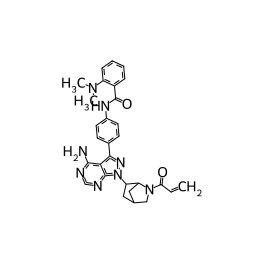 C=CC(=O)N1CC2CC1C(n1nc(-c3ccc(NC(=O)c4ccccc4N(C)C)cc3)c3c(N)ncnc31)C2